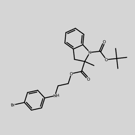 CC(C)(C)OC(=O)N1c2ccccc2CC1(C)C(=O)OCCNc1ccc(Br)cc1